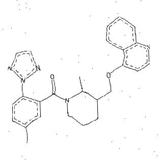 Cc1ccc(-n2nccn2)c(C(=O)N2CCCC(COc3ccnc4ccccc34)C2C)c1